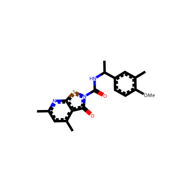 COc1ccc(C(C)NC(=O)n2sc3nc(C)cc(C)c3c2=O)cc1C